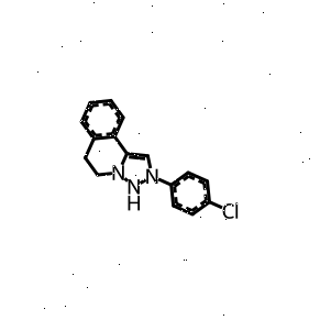 Clc1ccc(N2C=C3c4ccccc4CCN3N2)cc1